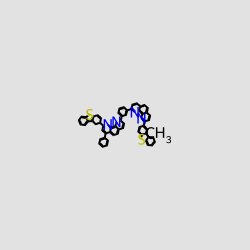 CC12C=C(c3ccc4ccc5ccc(-c6cccc(-c7ccc8ccc9c(-c%10ccccc%10)cc(C%10C=Cc%11sc%12ccccc%12c%11C%10)nc9c8n7)c6)nc5c4n3)C=CC1Sc1ccccc12